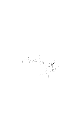 CCCc1cc(C(O)(C(F)(F)F)C(F)(F)F)cc(CCC)c1OCCCCN1C(=O)NC(CC)(c2ccc(OC(C)C)c(F)c2)C1=O